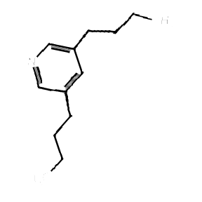 CCCCc1cncc(CCCC)c1